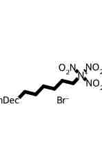 CCCCCCCCCCCCCCCC[N+]([N+](=O)[O-])([N+](=O)[O-])[N+](=O)[O-].[Br-]